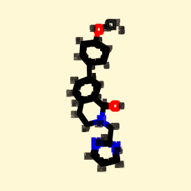 O=C1c2cc(-c3ccc(OC(F)(F)F)cc3)ccc2CCN1Cc1ncccn1